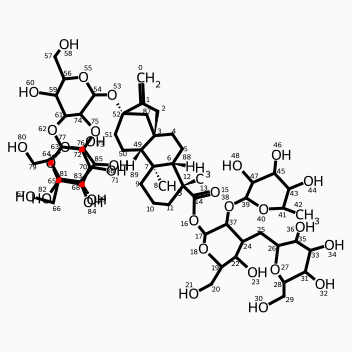 C=C1C[C@@]23CC[C@H]4[C@@](C)(CCC[C@@]4(C)C(=O)OC4OC(CO)C(O)C(CC5OC(CO)C(O)C(O)C5O)C4OC4OC(C)C(O)C(O)C4O)[C@@H]2CC[C@]1(OC1OC(CO)C(O)C(OC2OC(CO)C(O)C(O)C2O)C1OC1OC(CO)C(O)C(O)C1O)C3